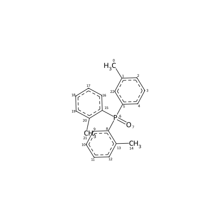 Cc1cccc(P(=O)(c2ccccc2C)c2ccccc2C)c1